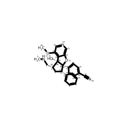 CNC[C@H]1C[C@@H](c2ccccc2)[C@]2(c3ccc(C#N)cc3)Oc3cncc(OC)c3[C@]12O